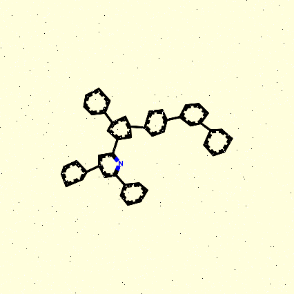 c1ccc(-c2cccc(-c3ccc(-c4cc(-c5ccccc5)cc(-c5cc(-c6ccccc6)cc(-c6ccccc6)n5)c4)cc3)c2)cc1